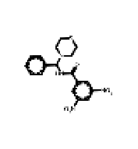 O=C(NC(c1ccccc1)N1CCSCC1)c1cc([N+](=O)[O-])cc([N+](=O)[O-])c1